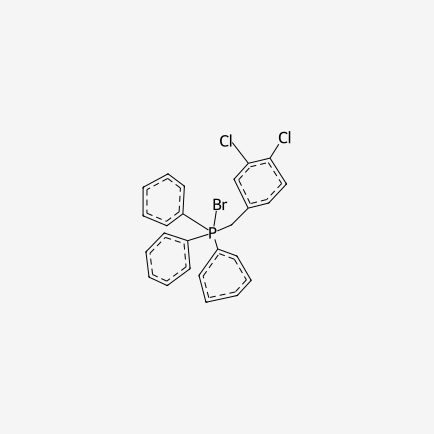 Clc1ccc(CP(Br)(c2ccccc2)(c2ccccc2)c2ccccc2)cc1Cl